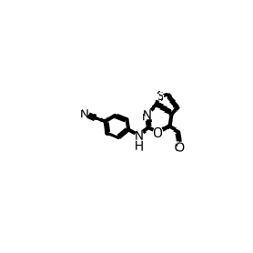 N#Cc1ccc(NC2=Nc3sccc3C(C=O)O2)cc1